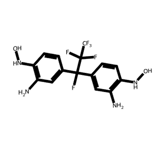 Nc1cc(C(F)(c2ccc(NO)c(N)c2)C(F)(F)C(F)(F)F)ccc1NO